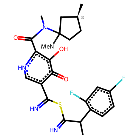 CNC1(N(C)C(=O)c2[nH]cc(C(=N)SC(=N)C(C)c3ccc(F)cc3F)c(=O)c2O)CC[C@H](C)C1